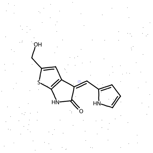 O=C1Nc2sc(CO)cc2/C1=C/c1ccc[nH]1